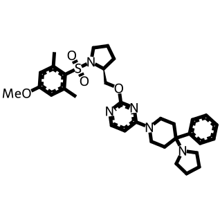 COc1cc(C)c(S(=O)(=O)N2CCC[C@H]2COc2nccc(N3CCC(c4ccccc4)(N4CCCC4)CC3)n2)c(C)c1